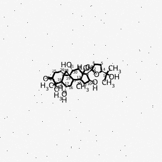 CC(C)(O)[C@@H]1CC[C@](C)([C@H]2[C@@H](O)C[C@@]3(C)C4C[C@H](O)[C@H]5C(C)(C)C(=O)CC[C@@]56C[C@@]46[C@H](O)C[C@]23C)O1